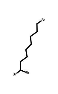 BrCCCCCCCC(Br)Br